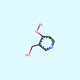 CCOc1ccncc1CO